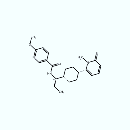 CC[C@@H](NC(=O)c1ccc(OC)nc1)[C@H]1CC[C@@H](c2cccc(=O)n2C)CC1